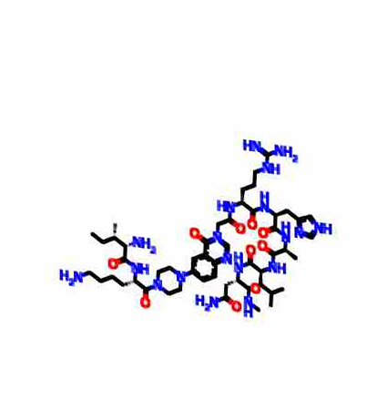 CC[C@H](C)[C@H](N)C(=O)N[C@@H](CCCCN)C(=O)N1CCN(c2ccc3ncn(CC(=O)N[C@@H](CCCNC(=N)N)C(=O)N[C@@H](Cc4c[nH]cn4)C(=O)N[C@@H](C)C(=O)N[C@@H](CC(C)C)C(=O)N[C@@H](CC(N)=O)C(=O)NC)c(=O)c3c2)CC1